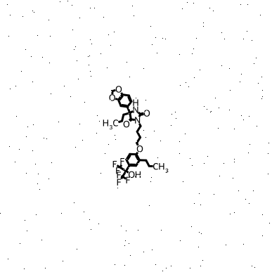 CCCc1cc(C(O)(C(F)(F)F)C(F)(F)F)ccc1OCCCCN1C(=O)NC(CCC)(c2ccc3c(c2)OCO3)C1=O